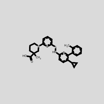 Cc1ccccc1-c1nc(NSc2cccc(N3CCCC(C)(C(=O)O)C3)n2)ccc1C1CC1